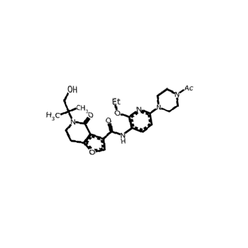 CCOc1nc(N2CCN(C(C)=O)CC2)ccc1NC(=O)c1coc2c1C(=O)N(C(C)(C)CO)CC2